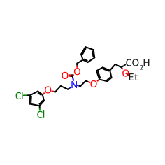 CCOC(Cc1ccc(OCCN(CCCOc2cc(Cl)cc(Cl)c2)C(=O)OCc2ccccc2)cc1)C(=O)O